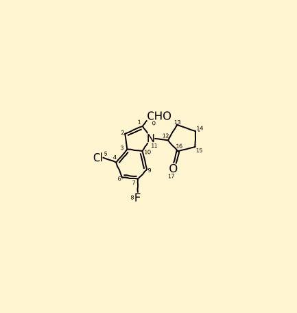 O=Cc1cc2c(Cl)cc(F)cc2n1C1C[CH]CC1=O